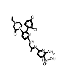 CCN1CCN(c2ccc(NCC(C)=Nc3ccc([NH+]([O-])O)c(N)n3)nc2-c2ccc(Cl)cc2Cl)C(=O)C1